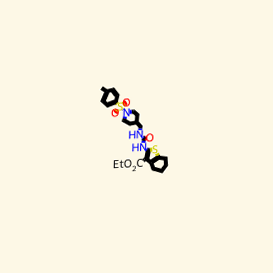 CCOC(=O)c1c(NC(=O)NCC2CCN(S(=O)(=O)c3ccc(C)cc3)CC2)sc2c1CCCC2